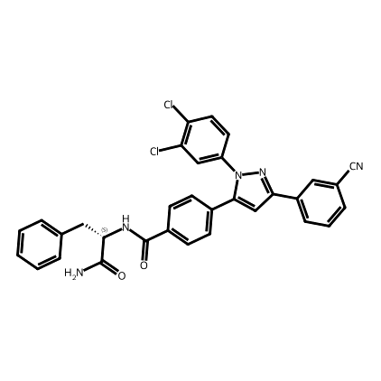 N#Cc1cccc(-c2cc(-c3ccc(C(=O)N[C@@H](Cc4ccccc4)C(N)=O)cc3)n(-c3ccc(Cl)c(Cl)c3)n2)c1